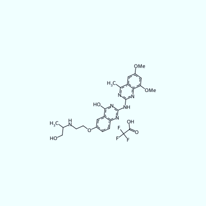 COc1cc(OC)c2nc(Nc3nc(O)c4cc(OCCNC(C)CO)ccc4n3)nc(C)c2c1.O=C(O)C(F)(F)F